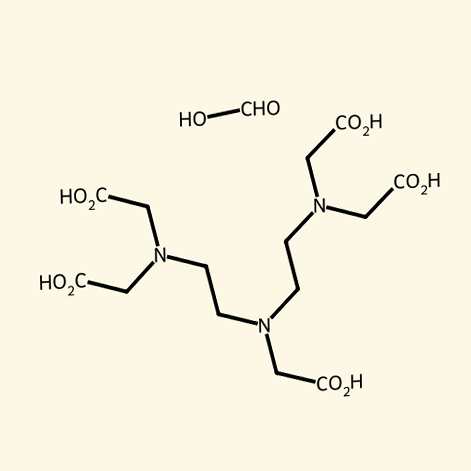 O=C(O)CN(CCN(CC(=O)O)CC(=O)O)CCN(CC(=O)O)CC(=O)O.O=CO